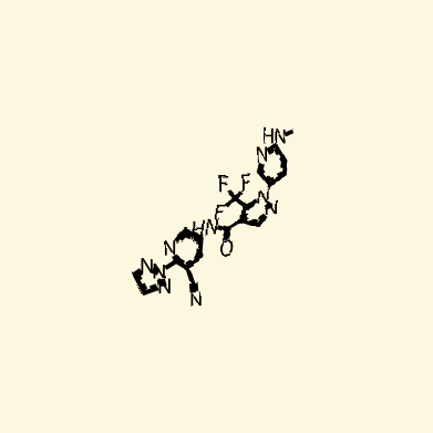 CNc1ccc(-n2ncc(C(=O)Nc3cnc(-n4nccn4)c(C#N)c3)c2C(F)(F)F)cn1